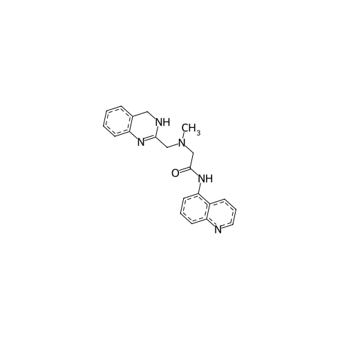 CN(CC(=O)Nc1cccc2ncccc12)CC1=Nc2ccccc2CN1